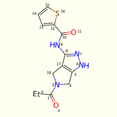 CCC(=O)N1Cc2[nH]nc(NC(=O)c3cccs3)c2C1